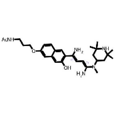 CC(=O)NCCCOc1ccc2cc(/C(N)=C/C=C(\N)N(C)C3CC(C)(C)NC(C)(C)C3)c(O)cc2c1